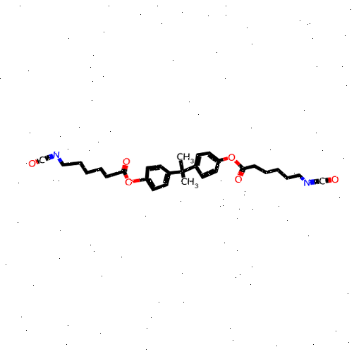 CC(C)(c1ccc(OC(=O)CCCCCN=C=O)cc1)c1ccc(OC(=O)CCCCCN=C=O)cc1